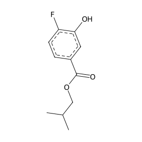 CC(C)COC(=O)c1ccc(F)c(O)c1